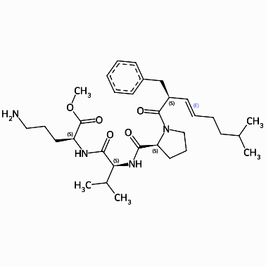 COC(=O)[C@H](CCCN)NC(=O)[C@@H](NC(=O)[C@@H]1CCCN1C(=O)[C@H](/C=C/CCC(C)C)Cc1ccccc1)C(C)C